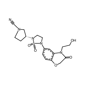 N#CN1CC[C@@H](N2CCN(c3ccc4c(c3)N(CCO)C(=O)CO4)S2(=O)=O)C1